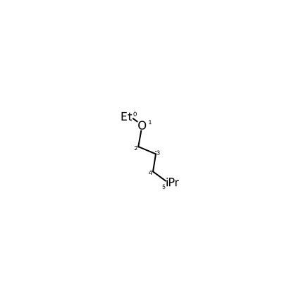 CCOC[CH]CC(C)C